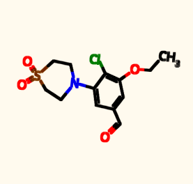 CCOc1cc(C=O)cc(N2CCS(=O)(=O)CC2)c1Cl